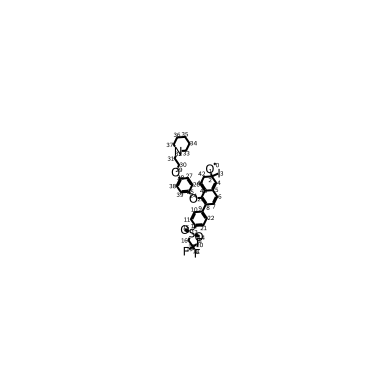 COC1(I)C=c2ccc(-c3ccc(S(=O)(=O)CC(F)(F)F)cc3)c(Oc3ccc(OCCN4CCCCC4)cc3)c2=CC1